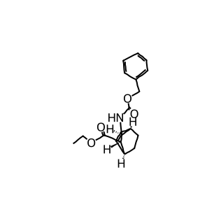 CCOC(=O)[C@@H]1[C@@H](NC(=O)OCc2ccccc2)[C@H]2C=C[C@@H]1CC2